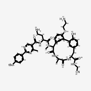 Cc1nc(-c2ccc(C(C)(C)C)cc2)ncc1C(=O)NC(CCN)C(=O)N(C)C1C(=O)NC(C)C(=O)NC(C(=O)NCC#N)Cc2ccc(O)c(c2)-c2cc1ccc2OCCN